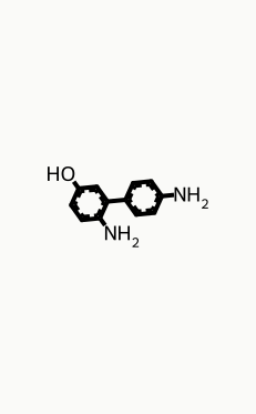 Nc1ccc(-c2cc(O)ccc2N)cc1